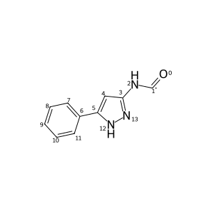 O=[C]Nc1cc(-c2ccccc2)[nH]n1